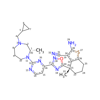 C[C@H]1CN(CC2CC2)CCCN1c1nccc(-c2noc([C@@]3(C)CCCc4sc(N)c(C#N)c43)n2)n1